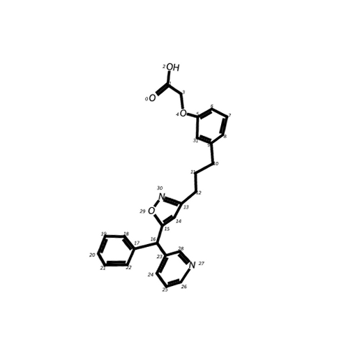 O=C(O)COc1cccc(CCCc2cc(C(c3ccccc3)c3cccnc3)on2)c1